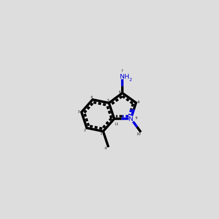 Cc1cccc2c(N)cn(C)c12